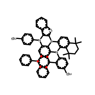 CC(C)(C)c1ccc(N2c3cc(N(c4ccccc4)c4ccccc4)cc4c3B(c3ccc5c(c3N4c3ccc(C(C)(C)C)cc3-c3ccccc3)C(C)(C)CCC5(C)C)c3sc4ccccc4c32)cc1